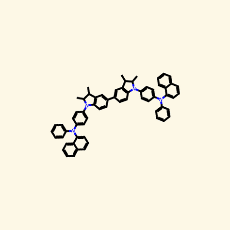 CC1c2cc(-c3ccc4c(c3)C(C)C(C)N4c3ccc(N(c4ccccc4)c4cccc5ccccc45)cc3)ccc2N(c2ccc(N(c3ccccc3)c3cccc4ccccc34)cc2)C1C